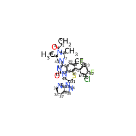 C=CC(=O)N1[C@H](C)CN(c2nc(=O)n3c4c(c(-c5cc(Cl)c(F)cc5F)c(C(F)(F)F)cc24)SC[C@@H](n2ncc4cccnc42)C3)C[C@@H]1C